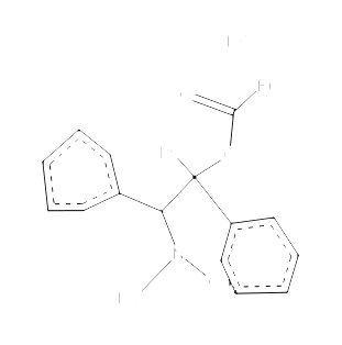 CCC(=O)OC(c1ccccc1)(C(C)C)C(c1ccccc1)N(C)C.Cl